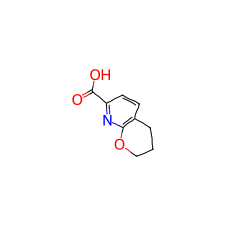 O=C(O)c1ccc2c(n1)OCCC2